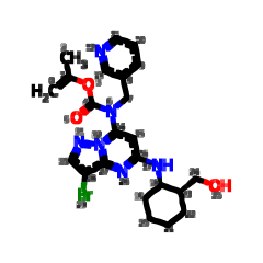 C=C(C)OC(=O)N(Cc1cccnc1)c1cc(N[C@@H]2CCCC[C@@H]2CO)nc2c(Br)cnn12